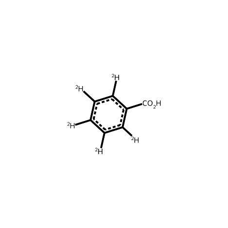 [2H]c1c([2H])c([2H])c(C(=O)O)c([2H])c1[2H]